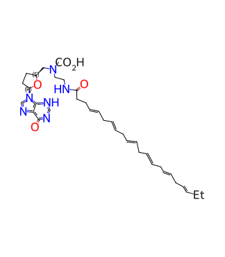 CCC=CCC=CCC=CCC=CCC=CCC=CCCC(=O)NCCN(C[C@@H]1CC[C@H](n2cnc3c(=O)nc[nH]c32)O1)C(=O)O